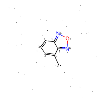 [CH2]c1cccc2nonc12